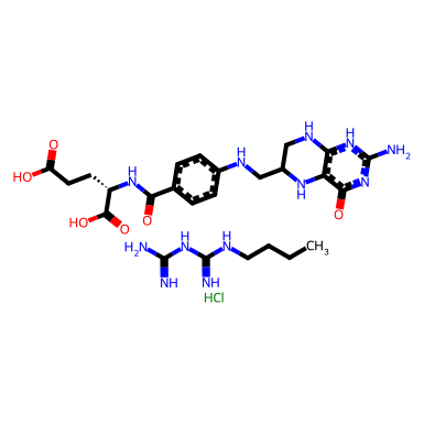 CCCCNC(=N)NC(=N)N.Cl.Nc1nc(=O)c2c([nH]1)NCC(CNc1ccc(C(=O)N[C@@H](CCC(=O)O)C(=O)O)cc1)N2